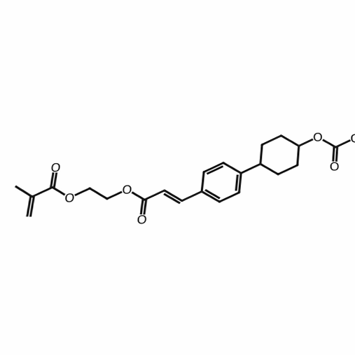 C=C(C)C(=O)OCCOC(=O)/C=C/c1ccc(C2CCC(OC(=O)C(F)(F)F)CC2)cc1